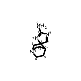 NC1=NC2(C=N1)CN1CCC2CC1